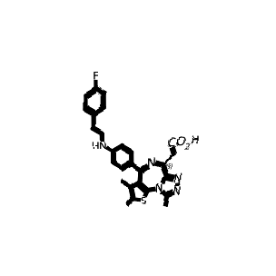 Cc1sc2c(c1C)C(c1ccc(NCCc3ccc(F)cc3)cc1)=N[C@@H](CC(=O)O)c1nnc(C)n1-2